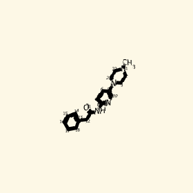 CN1CCN(c2ccc(NC(=O)Cc3ccccc3)nc2)CC1